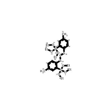 CCO[Si](OCC)(OCC)c1cc(C)ccc1SSSc1ccc(C)cc1[Si](OCC)(OCC)OCC